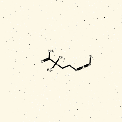 CCN=C=NCCC(C)(C)C(N)=O